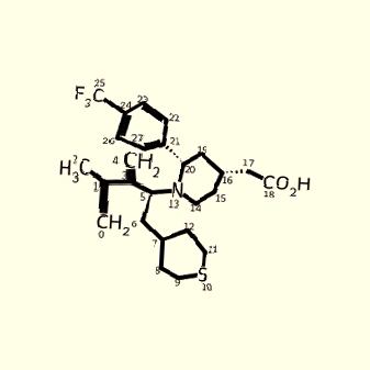 C=C(C)C(=C)[C@H](CC1CCSCC1)N1CC[C@@H](CC(=O)O)C[C@H]1c1ccc(C(F)(F)F)cc1